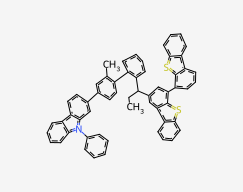 CCC(c1cc(-c2cccc3c2sc2ccccc23)c2sc3ccccc3c2c1)c1ccccc1-c1ccc(-c2ccc3c4ccccc4n(-c4ccccc4)c3c2)cc1C